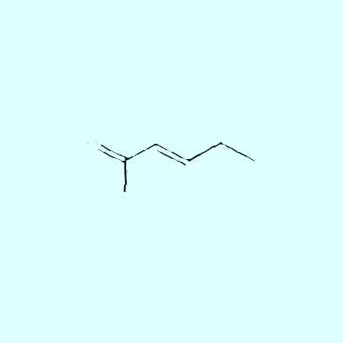 O=C(Cl)/C=C/CI